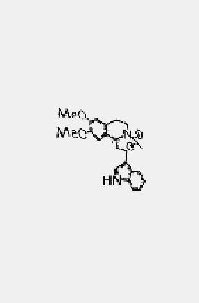 COc1cc2c(cc1OC)[C@H](CCc1c[nH]c3ccccc13)N(S(C)(=O)=O)CC2